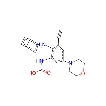 C#Cc1cc(N2CCOCC2)cc(NC(=O)O)c1N.c1cc2ccc1-2